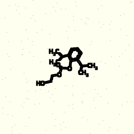 CC(C)c1cccc(C(C)C)c1OC(=O)OCCO